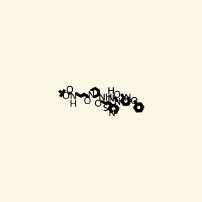 Cc1nc(Oc2ccccc2)ccc1N1C(=O)Nc2c(C(=O)N[C@@H]3CCCN(C(=O)/C=C/CNC(=O)OC(C)(C)C)C3)sc3nccc1c23